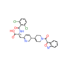 O=C(N[C@@H](CC1=NCC(C2=CCN(C(=O)c3onc4ccccc34)CC2)C=C1)C(=O)O)c1c(Cl)cccc1Cl